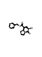 CCc1cc(C(=O)OCc2ccccc2)c2n(c1=O)CCC2